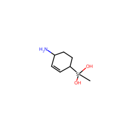 C[Si](O)(O)C1C=CC(N)CC1